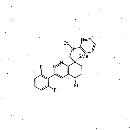 CC[C@H]1CC[C@@](CN(CC)c2ccccn2)(SC)c2nnc(-c3c(F)cccc3F)cc21